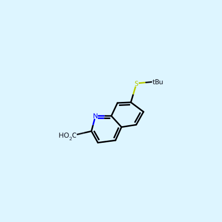 CC(C)(C)Sc1ccc2ccc(C(=O)O)nc2c1